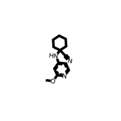 COc1cc(NC2(C#N)CCCCC2)ccn1